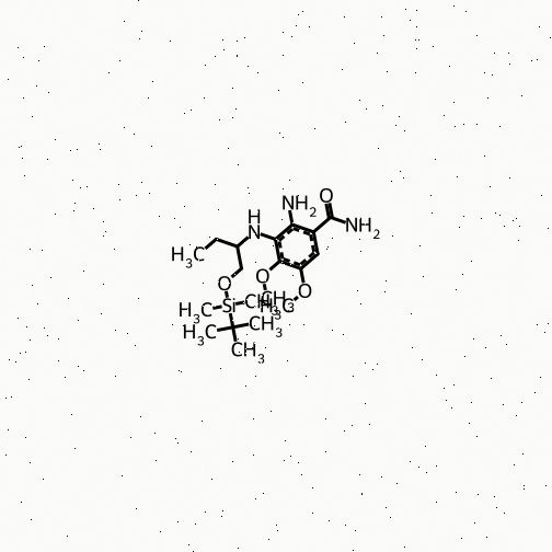 CCC(CO[Si](C)(C)C(C)(C)C)Nc1c(N)c(C(N)=O)cc(OC)c1OC